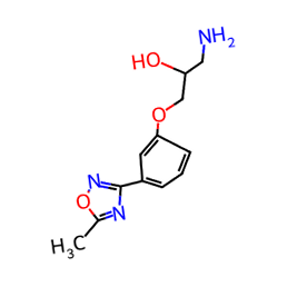 Cc1nc(-c2cccc(OCC(O)CN)c2)no1